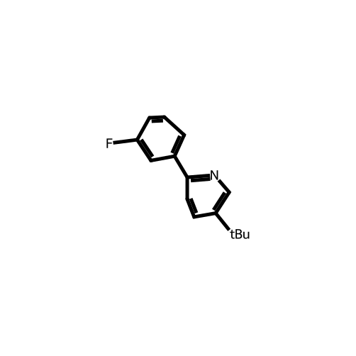 CC(C)(C)c1ccc(-c2cccc(F)c2)nc1